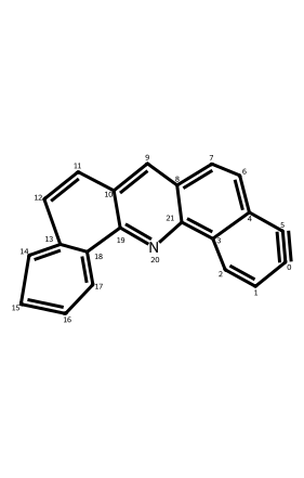 c1ccc2c(c#1)ccc1cc3ccc4ccccc4c3nc12